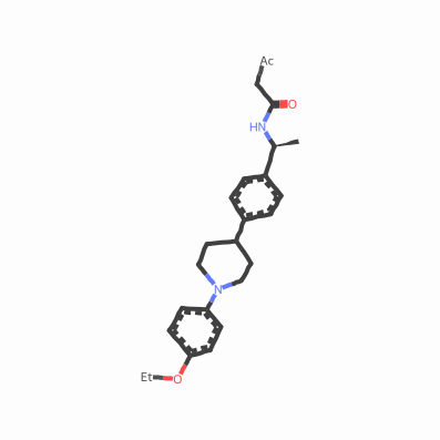 CCOc1ccc(N2CCC(c3ccc([C@H](C)NC(=O)CC(C)=O)cc3)CC2)cc1